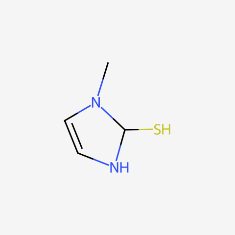 CN1C=CNC1S